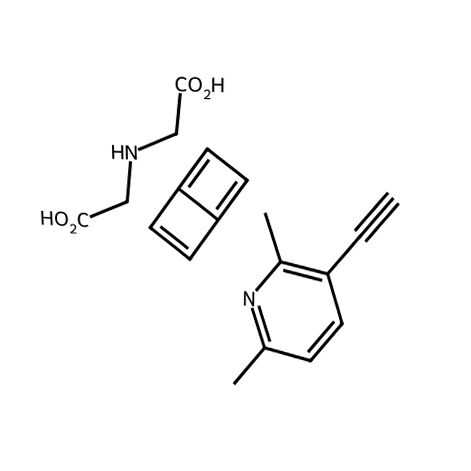 C#Cc1ccc(C)nc1C.O=C(O)CNCC(=O)O.c1cc2ccc1-2